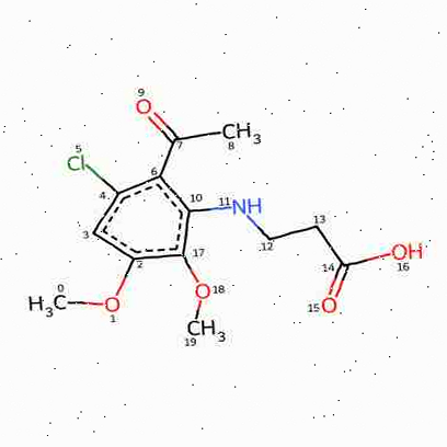 COc1cc(Cl)c(C(C)=O)c(NCCC(=O)O)c1OC